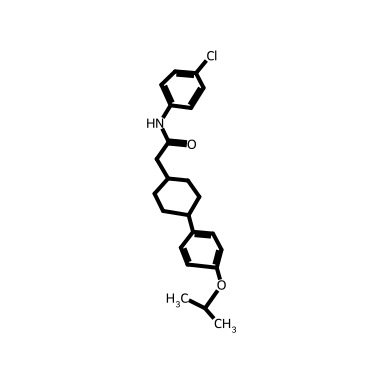 CC(C)Oc1ccc(C2CCC(CC(=O)Nc3ccc(Cl)cc3)CC2)cc1